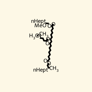 CCCCCCCC(C)COC(=O)CCCCCCCC(CCCCCCCC(=O)OCC(CCCCCCC)OC)OC(=O)CCCN(C)C